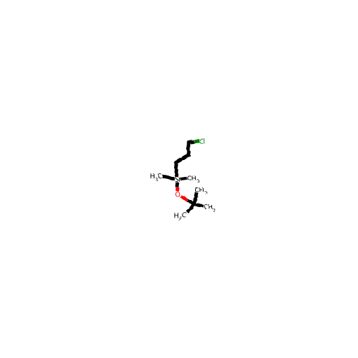 CC(C)(C)O[Si](C)(C)CCCCl